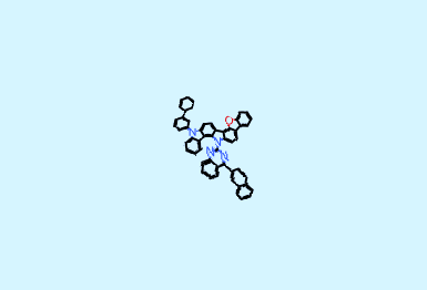 c1ccc(-c2cccc(-n3c4ccccc4c4c3ccc3c5c6oc7ccccc7c6ccc5n(-c5nc(-c6ccc7ccccc7c6)c6ccccc6n5)c34)c2)cc1